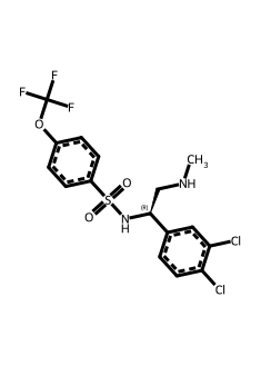 CNC[C@H](NS(=O)(=O)c1ccc(OC(F)(F)F)cc1)c1ccc(Cl)c(Cl)c1